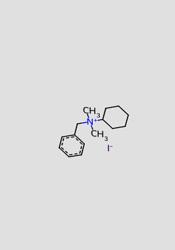 C[N+](C)(Cc1ccccc1)C1CCCCC1.[I-]